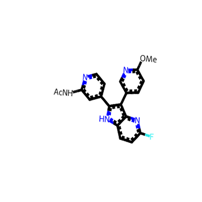 COc1ccc(-c2c(-c3ccnc(NC(C)=O)c3)[nH]c3ccc(F)nc23)cn1